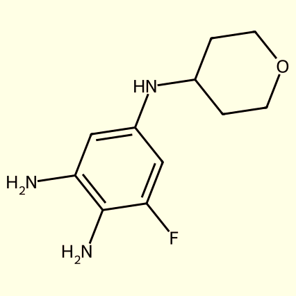 Nc1cc(NC2CCOCC2)cc(F)c1N